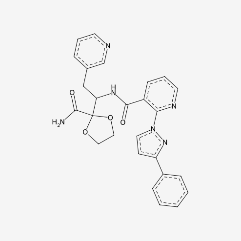 NC(=O)C1(C(Cc2cccnc2)NC(=O)c2cccnc2-n2ccc(-c3ccccc3)n2)OCCO1